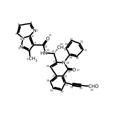 Cc1nn2cccnc2c1C(=O)N[C@H](C)c1cc2cccc(C#CC=O)c2c(=O)n1-c1ccccc1